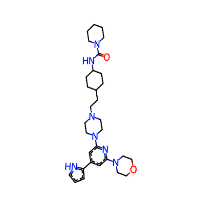 O=C(NC1CCC(CCN2CCN(c3cc(-c4ccc[nH]4)cc(N4CCOCC4)n3)CC2)CC1)N1CCCCC1